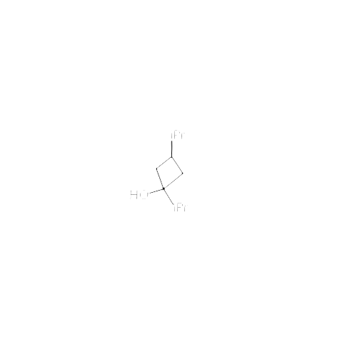 CC(C)C1CC(O)(C(C)C)C1